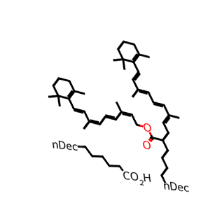 CCCCCCCCCCCCCCC(CC=C(C)C=CC=C(C)C=CC1=C(C)CCCC1(C)C)C(=O)OCC=C(C)C=CC=C(C)C=CC1=C(C)CCCC1(C)C.CCCCCCCCCCCCCCCC(=O)O